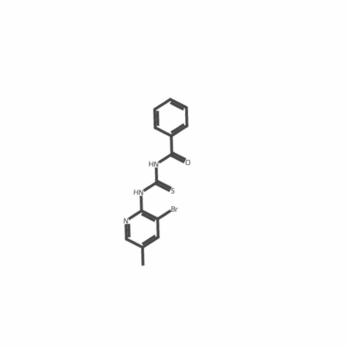 Cc1cnc(NC(=S)NC(=O)c2ccccc2)c(Br)c1